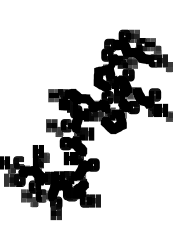 CC[C@H](C)[C@H](NC(=O)[C@@H]1CCCN1C(=O)[C@H](CCC(N)=O)NC(=O)[C@@H]1CCCN1C(=O)[C@H](Cc1c[nH]cn1)NC(=O)[C@H](C)NC(=O)CNC(=O)[C@H](CC(=O)O)NC(=O)[C@@H](NC(=O)[C@@H](N)[C@@H](C)O)[C@@H](C)O)C(=O)O